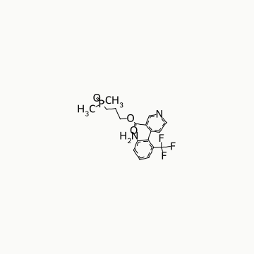 CP(C)(=O)CCCOC(=O)c1cnccc1-c1c(N)cccc1C(F)(F)F